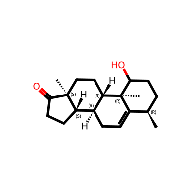 C[C@@H]1CCC(O)[C@@]2(C)C1=CC[C@H]1[C@@H]3CCC(=O)[C@@]3(C)CC[C@@H]12